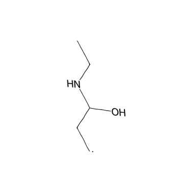 [CH2]CC(O)NCC